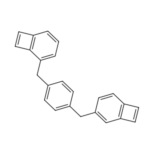 C1=Cc2cc(Cc3ccc(Cc4cccc5c4C=C5)cc3)ccc21